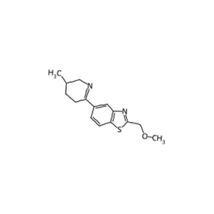 COCc1nc2cc(C3=NCC(C)CC3)ccc2s1